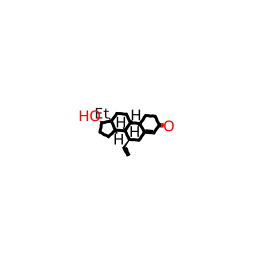 C=C[C@@H]1CC2=CC(=O)CC[C@@H]2[C@H]2CC[C@]3(CC)[C@@H](O)CC[C@H]3[C@@H]21